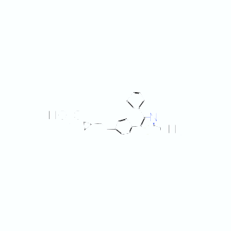 Cc1nc(-c2ccccc2)c(-c2ccc(CCC3C[C@@H]3C(=O)O)cc2)s1